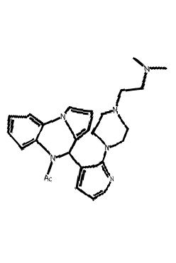 CC(=O)N1c2ccccc2-n2cccc2C1c1cccnc1N1CCN(CCN(C)C)CC1